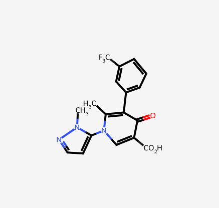 Cc1c(-c2cccc(C(F)(F)F)c2)c(=O)c(C(=O)O)cn1-c1ccnn1C